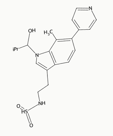 Cc1c(-c2ccncc2)ccc2c(CCN[SH](=O)=O)cn(C(O)C(C)C)c12